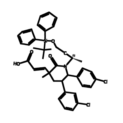 C[C@@H](CCO[Si](c1ccccc1)(c1ccccc1)C(C)(C)C)N1C(=O)C(C)(C=CC(=O)O)CC(c2cccc(Cl)c2)C1c1ccc(Cl)cc1